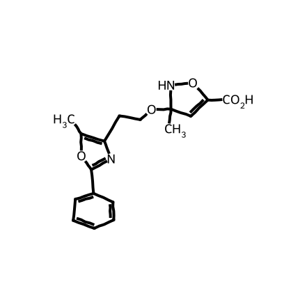 Cc1oc(-c2ccccc2)nc1CCOC1(C)C=C(C(=O)O)ON1